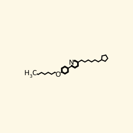 CCCCCCCOc1ccc(-c2ccc(CCCCCCC3CCCC3)cn2)cc1